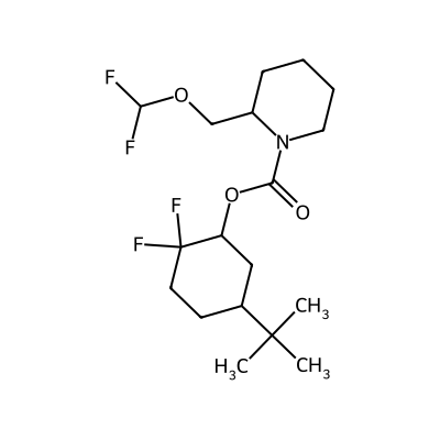 CC(C)(C)C1CCC(F)(F)C(OC(=O)N2CCCCC2COC(F)F)C1